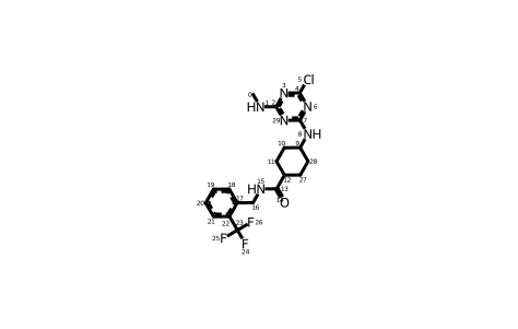 CNc1nc(Cl)nc(NC2CCC(C(=O)NCc3ccccc3C(F)(F)F)CC2)n1